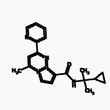 Cc1cc(-c2ccccn2)nc2c(C(=O)NC(C)(C)C3CC3)ccn12